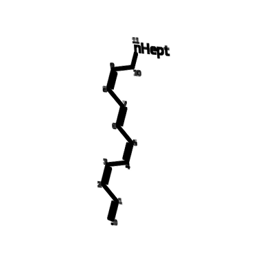 [CH]=C\C=C/C=C\C=C\C=C/CCCCCCCC